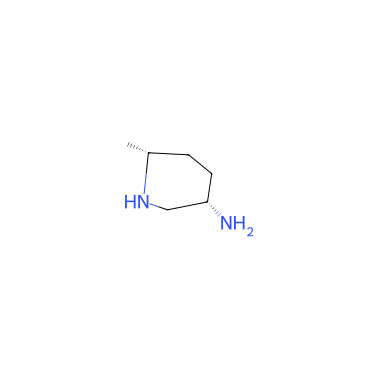 C[C@@H]1CC[C@H](N)CN1